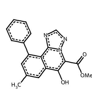 COC(=O)c1c(O)c2cc(C)cc(-c3ccccc3)c2c2ncnn12